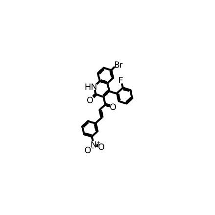 O=C(/C=C/c1cccc([N+](=O)[O-])c1)c1c(-c2ccccc2F)c2cc(Br)ccc2[nH]c1=O